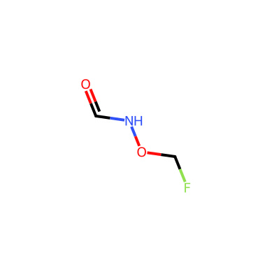 O=CNOCF